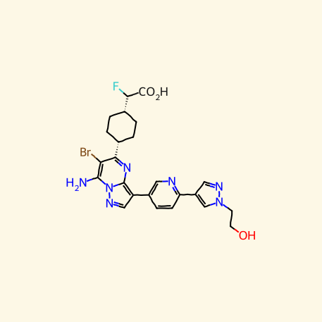 Nc1c(Br)c([C@H]2CC[C@@H](C(F)C(=O)O)CC2)nc2c(-c3ccc(-c4cnn(CCO)c4)nc3)cnn12